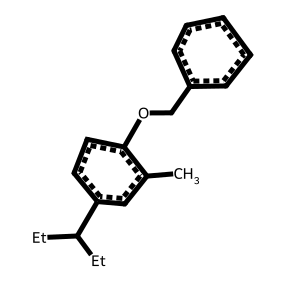 CCC(CC)c1ccc(OCc2ccccc2)c(C)c1